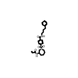 C=CC(=O)NC1CCCCN(S(=O)(=O)c2ccc(C(=O)NCCCCc3ccccc3)cc2)C1